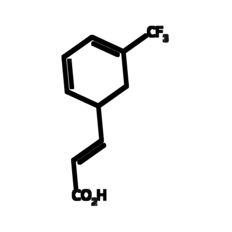 O=C(O)C=CC1C=CC=C(C(F)(F)F)C1